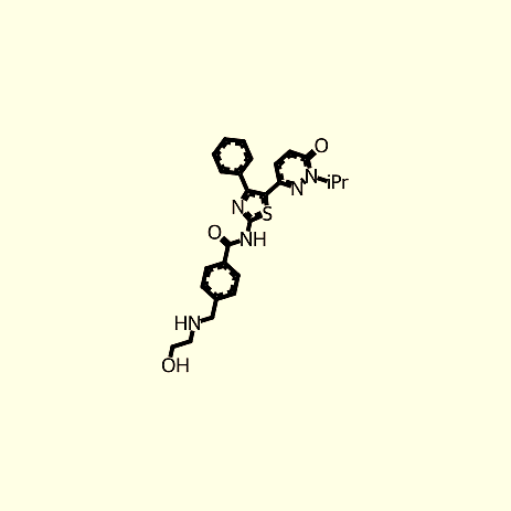 CC(C)n1nc(-c2sc(NC(=O)c3ccc(CNCCO)cc3)nc2-c2ccccc2)ccc1=O